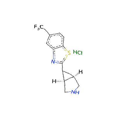 Cl.FC(F)(F)c1ccc2sc(C3[C@H]4CNC[C@@H]34)nc2c1